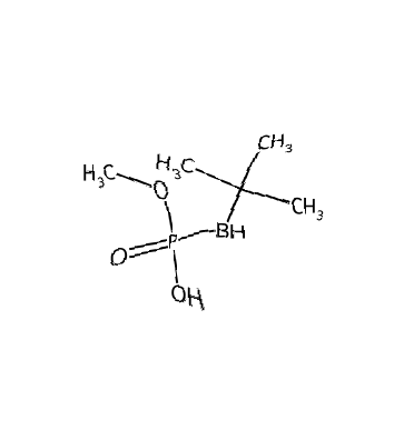 COP(=O)(O)BC(C)(C)C